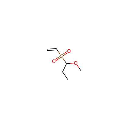 C=CS(=O)(=O)C(CC)OC